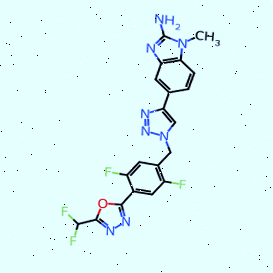 Cn1c(N)nc2cc(-c3cn(Cc4cc(F)c(-c5nnc(C(F)F)o5)cc4F)nn3)ccc21